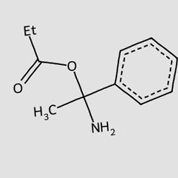 CCC(=O)OC(C)(N)c1ccccc1